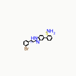 NSc1ccccc1-c1ccc2[nH]c(/C=C/c3cccc(Br)c3)nc2c1